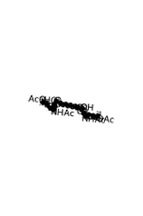 CC(=O)NC(CCP(=O)(O)OCCCCCCCCOP(=O)(O)OCC(COCC[C@@H](C)OC(C)=O)NC(C)=O)COCC[C@@H](C)OC(C)=O